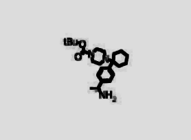 C[C@H](N)c1ccc(C2(N3CCN(C(=O)OC(C)(C)C)CC3)CCCCC2)cc1